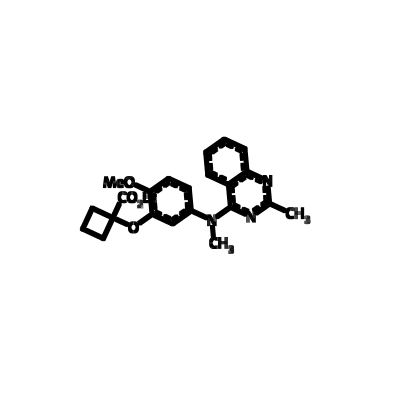 CCOC(=O)C1(Oc2cc(N(C)c3nc(C)nc4ccccc34)ccc2OC)CCC1